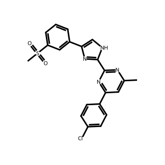 Cc1cc(-c2ccc(Cl)cc2)nc(-c2nc(-c3cccc(S(C)(=O)=O)c3)c[nH]2)n1